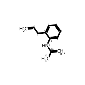 C=CCc1ccccc1NC(=C)C